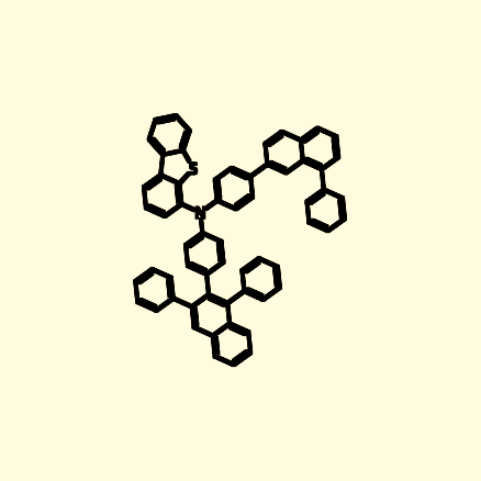 c1ccc(-c2cc3ccccc3c(-c3ccccc3)c2-c2ccc(N(c3ccc(-c4ccc5cccc(-c6ccccc6)c5c4)cc3)c3cccc4c3sc3ccccc34)cc2)cc1